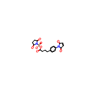 O=C(CCCc1ccc(N2C(=O)C=CC2=O)cc1)OS(=O)(=O)N1C(=O)CCC1=O